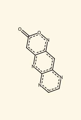 O=c1cc2nc3nccnc3cc2no1